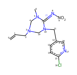 C=CCN1CN(C)/C(=N/[N+](=O)[O-])N(Cc2ccc(Cl)nc2)C1